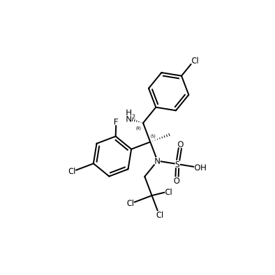 C[C@](c1ccc(Cl)cc1F)([C@H](N)c1ccc(Cl)cc1)N(CC(Cl)(Cl)Cl)S(=O)(=O)O